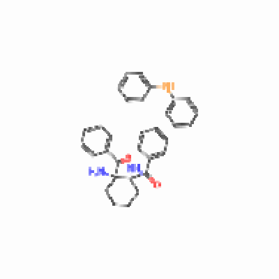 NC1(C(=O)c2ccccc2)CCCCC1(N)C(=O)c1ccccc1.c1ccc(Pc2ccccc2)cc1